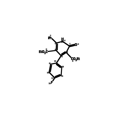 CCOC(=O)c1c(C(C)C)[nH]c(=O)c(C(=O)OCC)c1-c1ccc(F)cc1